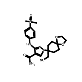 CP(C)(=O)c1ccc(Nc2nn(C3(CC#N)CCC4(CC3)OCCO4)cc2C(N)=O)cc1